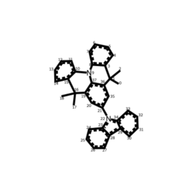 CC1(C)c2ccccc2N2c3ccccc3C(C)(C)c3cc(-n4c5ccccc5c5ccccc54)cc1c32